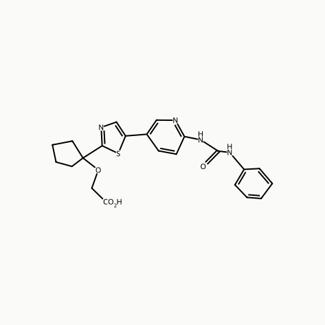 O=C(O)COC1(c2ncc(-c3ccc(NC(=O)Nc4ccccc4)nc3)s2)CCCC1